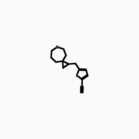 C#Cc1ccc(CC2CC23CCCOCC3)s1